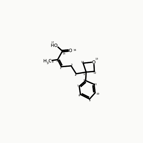 CC(=CCCC1(c2ccccc2)COC1)C(=O)O